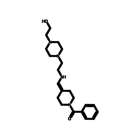 O=C(c1ccccc1)N1CCC(=CNCCN2CCN(CCO)CC2)CC1